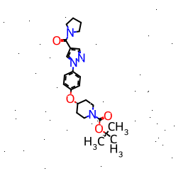 CC(C)(C)OC(=O)N1CCC(Oc2ccc(-n3cc(C(=O)N4CCCC4)cn3)cc2)CC1